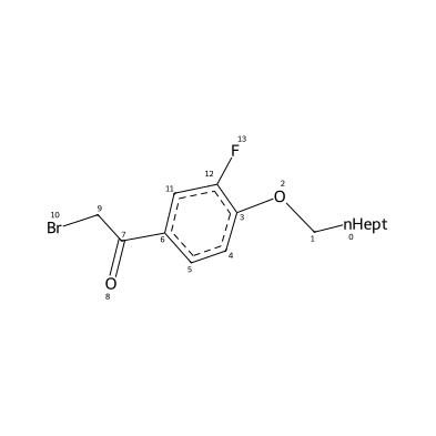 CCCCCCCCOc1ccc(C(=O)CBr)cc1F